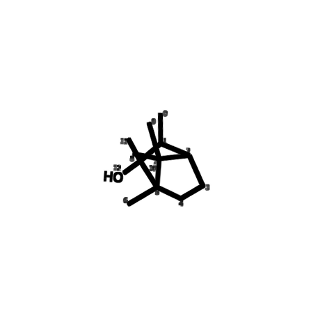 CC1C2CCC(C)(C2(C)C)C1(C)O